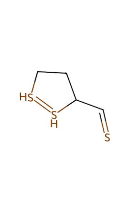 S=CC1CC[SH]=[SH]1